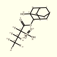 O=C(OC1C2CC3CC(C2)CC1(O)C3)C(F)(C(F)(F)C(F)(F)F)S(=O)(=O)O